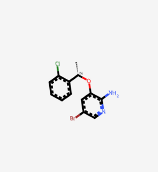 C[C@H](Oc1cc(Br)cnc1N)c1ccccc1Cl